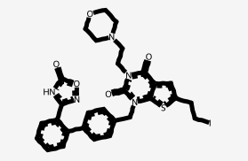 O=c1[nH]c(-c2ccccc2-c2ccc(Cn3c(=O)n(CCN4CCOCC4)c(=O)c4cc(CCI)sc43)cc2)no1